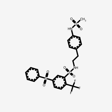 CS(=O)(=O)Nc1ccc(CCNS(=O)(=O)c2cc(S(=O)(=O)c3ccccc3)ccc2C(F)(F)F)cc1